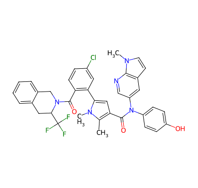 Cc1c(C(=O)N(c2ccc(O)cc2)c2cnc3c(ccn3C)c2)cc(-c2cc(Cl)ccc2C(=O)N2Cc3ccccc3CC2C(F)(F)F)n1C